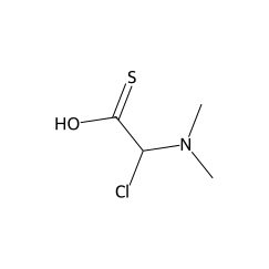 CN(C)C(Cl)C(O)=S